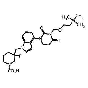 C[Si](C)(C)CCOCN1C(=O)CCN(c2cccc3c2ccn3CC2(F)CCCN(C(=O)O)C2)C1=O